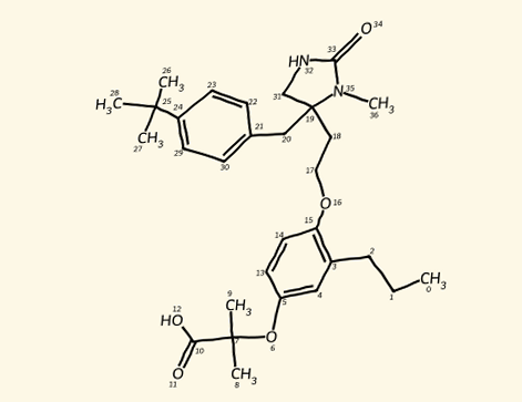 CCCc1cc(OC(C)(C)C(=O)O)ccc1OCCC1(Cc2ccc(C(C)(C)C)cc2)CNC(=O)N1C